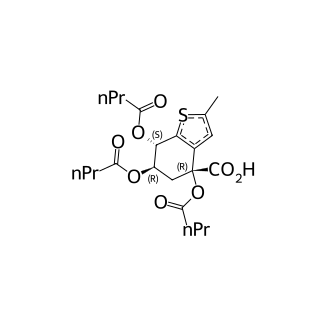 CCCC(=O)O[C@@H]1c2sc(C)cc2[C@@](OC(=O)CCC)(C(=O)O)C[C@H]1OC(=O)CCC